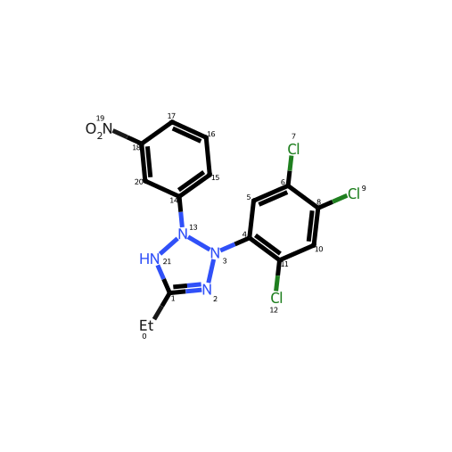 CCC1=NN(c2cc(Cl)c(Cl)cc2Cl)N(c2cccc([N+](=O)[O-])c2)N1